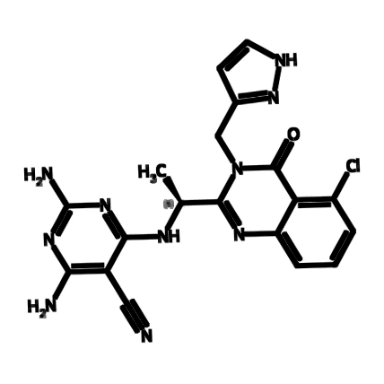 C[C@H](Nc1nc(N)nc(N)c1C#N)c1nc2cccc(Cl)c2c(=O)n1Cc1cc[nH]n1